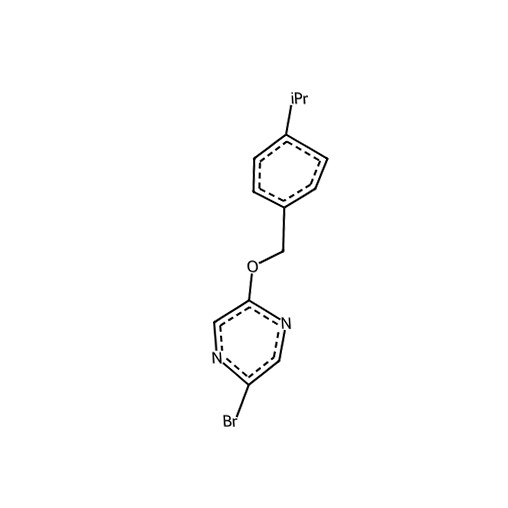 CC(C)c1ccc(COc2cnc(Br)cn2)cc1